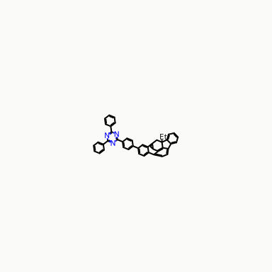 CCC12CC34CC3c3c(ccc(c31)-c1ccccc12)-c1ccc(-c2ccc(-c3nc(-c5ccccc5)nc(-c5ccccc5)n3)cc2)cc14